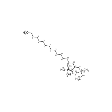 CCCCCCCCCCCCCCCCC(C[N+](C)(C)CC)OP(=O)(O)O